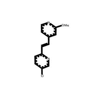 COc1cc(C=Cc2ccc(Cl)cn2)ccn1